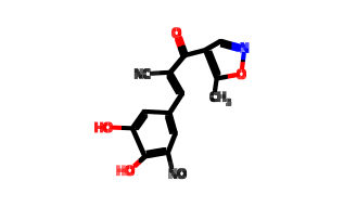 Cc1oncc1C(=O)/C(C#N)=C/c1cc(O)c(O)c(N=O)c1